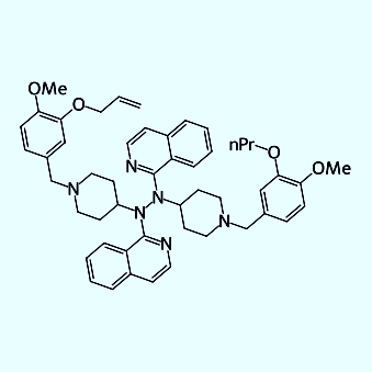 C=CCOc1cc(CN2CCC(N(c3nccc4ccccc34)N(c3nccc4ccccc34)C3CCN(Cc4ccc(OC)c(OCCC)c4)CC3)CC2)ccc1OC